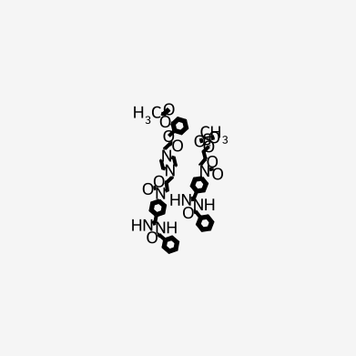 CC(=O)Oc1ccccc1OC(=O)CN1CCN(CC2CN(c3ccc(C(=N)NC(=O)c4ccccc4)cc3)C(=O)O2)CC1.CS(=O)(=O)OCC1CN(c2ccc(C(=N)NC(=O)c3ccccc3)cc2)C(=O)O1